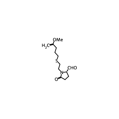 C=C(CCCSCCN1C(=O)CC[C@@H]1C=O)OC